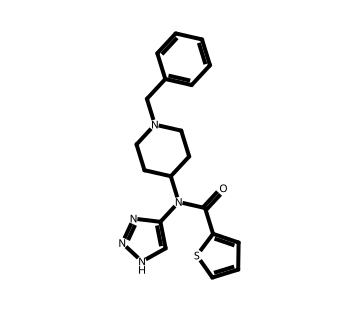 O=C(c1cccs1)N(c1c[nH]nn1)C1CCN(Cc2ccccc2)CC1